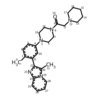 Cc1ccc(N2CCN(C(=O)CN3CCCCC3)CC2)cc1-c1nc2ccccn2c1C